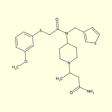 COc1cccc(SCC(=O)N(Cc2ccsc2)C2CCN(C(C)CC(N)=O)CC2)c1